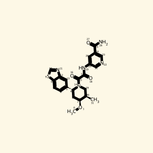 CO[C@H]1C[C@H](c2ccc3scnc3c2)N(C(=O)C(=O)Nc2cncc(C(N)=O)c2)C[C@H]1C